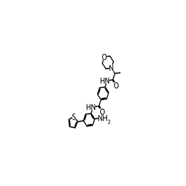 CC(C(=O)Nc1ccc(C(=O)Nc2cc(-c3cccs3)ccc2N)cc1)N1CCOCC1